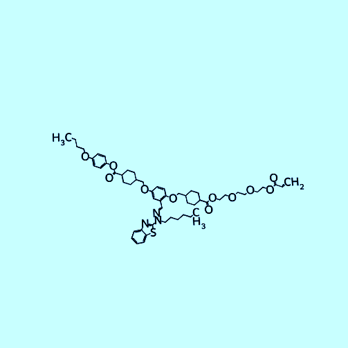 C=CC(=O)OCCOCCOCCOC(=O)C1CCC(COc2ccc(OCC3CCC(C(=O)Oc4ccc(OCCCC)cc4)CC3)cc2/C=N/N(CCCCCC)c2nc3ccccc3s2)CC1